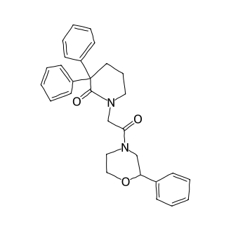 O=C(CN1CCCC(c2ccccc2)(c2ccccc2)C1=O)N1CCOC(c2ccccc2)C1